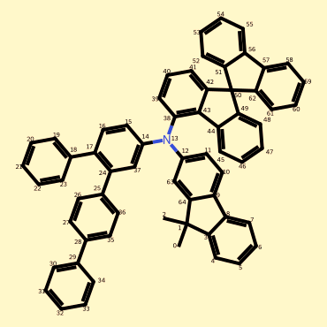 CC1(C)c2ccccc2-c2ccc(N(c3ccc(-c4ccccc4)c(-c4ccc(-c5ccccc5)cc4)c3)c3cccc4c3-c3ccccc3C43c4ccccc4-c4ccccc43)cc21